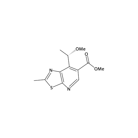 COC(=O)c1cnc2sc(C)nc2c1[C@H](C)OC